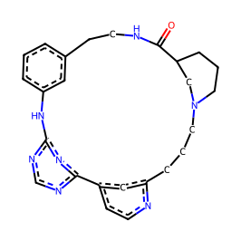 O=C1NCCc2cccc(c2)Nc2ncnc(n2)-c2ccnc(c2)CCCN2CCCC1C2